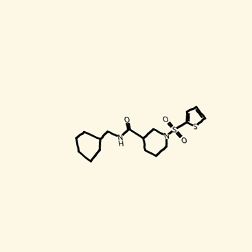 O=C(NCC1CCCCC1)C1CCCN(S(=O)(=O)c2cccs2)C1